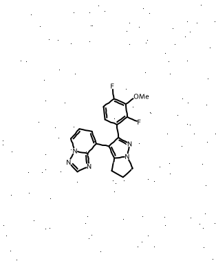 COc1c(F)ccc(-c2nn3c(c2-c2cccn4ncnc24)CCC3)c1F